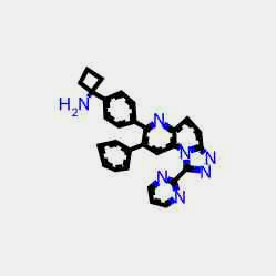 NC1(c2ccc(-c3nc4ccc5nnc(-c6ncccn6)n5c4cc3-c3ccccc3)cc2)CCC1